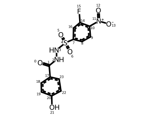 O=C(NNS(=O)(=O)c1ccc([N+](=O)[O-])c(F)c1)c1ccc(O)cc1